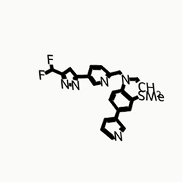 C=CN(Cc1ccc(C2=NN=C(C(F)F)C2)cn1)c1ccc(-c2cccnc2)cc1SC